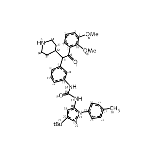 COc1cccc(C(=O)C(c2cccc(NC(=O)Nc3cc(C(C)(C)C)nn3-c3ccc(C)cc3)c2)C2CCNCC2)c1OC